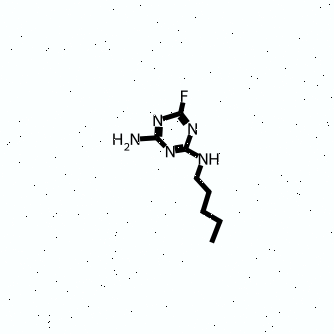 CCCCCNc1nc(N)nc(F)n1